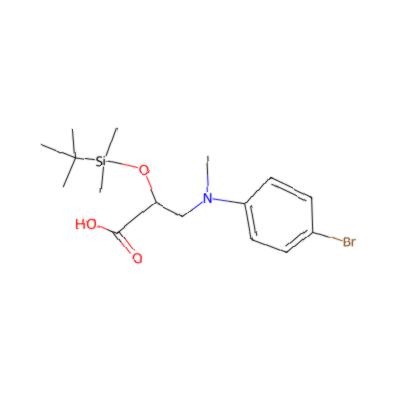 CN(CC(O[Si](C)(C)C(C)(C)C)C(=O)O)c1ccc(Br)cc1